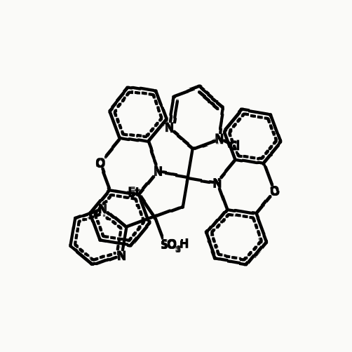 CCC(CC(C1N=CC=CN1Cl)(N1c2ccccc2Oc2ccccc21)N1c2ccccc2Oc2ccccc21)(c1ncccn1)S(=O)(=O)O